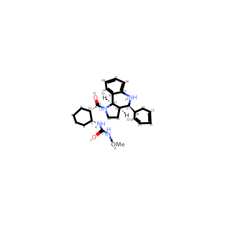 CONC(=O)N[C@@H]1CCCC[C@@H]1C(=O)N1CC[C@@H]2[C@H](C3C=CC=CC3)Nc3ccccc3[C@@H]21